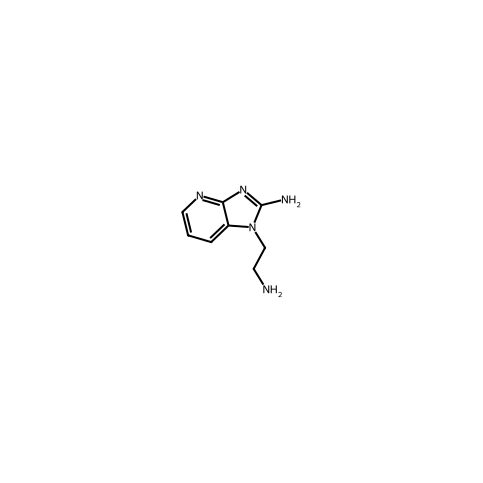 NCCn1c(N)nc2ncccc21